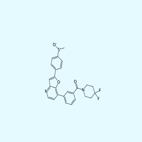 C[S+]([O-])c1ccc(-c2cc3nccc(-c4cccc(C(=O)N5CCC(F)(F)CC5)c4)c3o2)cc1